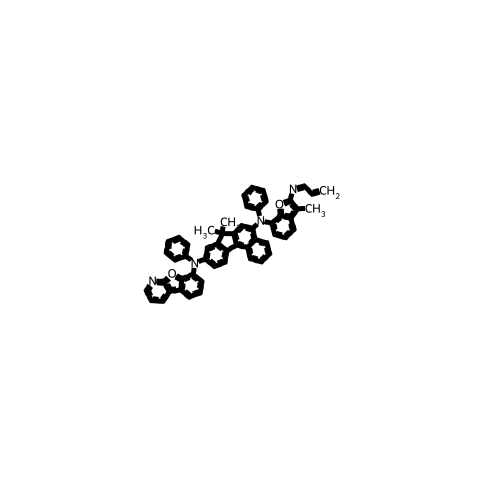 C=C/C=N\c1oc2c(N(c3ccccc3)c3cc4c(c5ccccc35)-c3ccc(N(c5ccccc5)c5cccc6c5oc5ncccc56)cc3C4(C)C)cccc2c1C